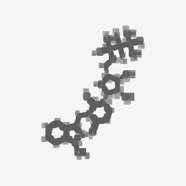 Cn1nc(Cn2c(=O)ccn([C@@H]3O[C@H](COP(=O)(O)C(F)(F)P(=O)(O)O)[C@H](O)[C@@H]3O)c2=O)c2ccccc21